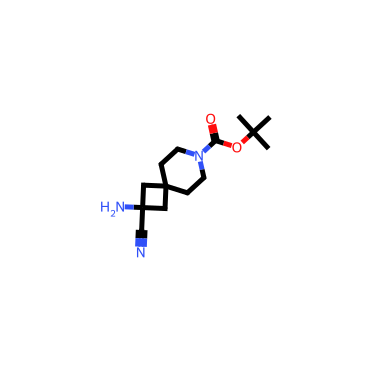 CC(C)(C)OC(=O)N1CCC2(CC1)CC(N)(C#N)C2